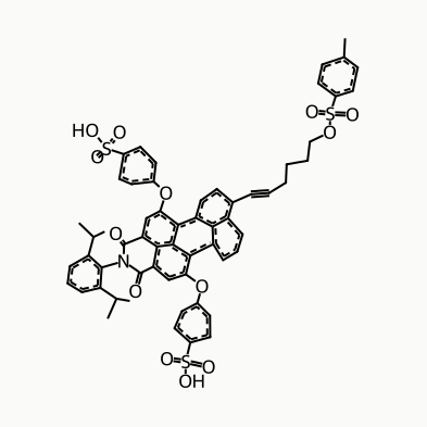 Cc1ccc(S(=O)(=O)OCCCCC#Cc2ccc3c4c(Oc5ccc(S(=O)(=O)O)cc5)cc5c6c(cc(Oc7ccc(S(=O)(=O)O)cc7)c(c7cccc2c73)c64)C(=O)N(c2c(C(C)C)cccc2C(C)C)C5=O)cc1